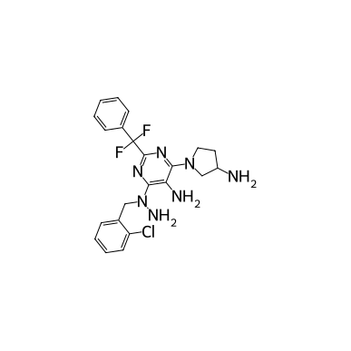 Nc1c(N(N)Cc2ccccc2Cl)nc(C(F)(F)c2ccccc2)nc1N1CCC(N)C1